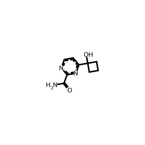 NC(=O)c1nccc(C2(O)CCC2)n1